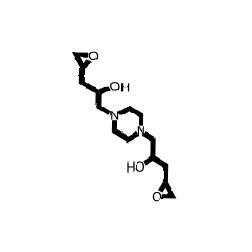 OC(CC1CO1)CN1CCN(CC(O)CC2CO2)CC1